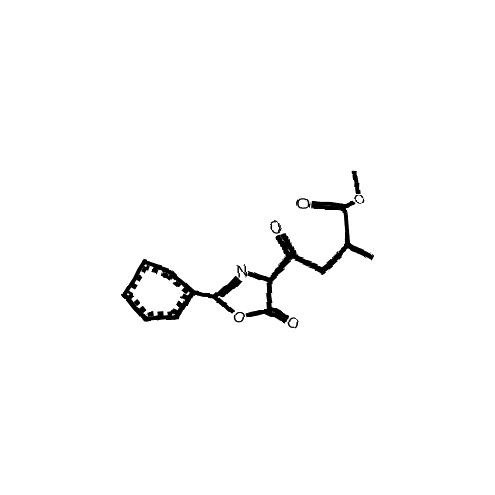 COC(=O)C(C)CC(=O)C1N=C(c2ccccc2)OC1=O